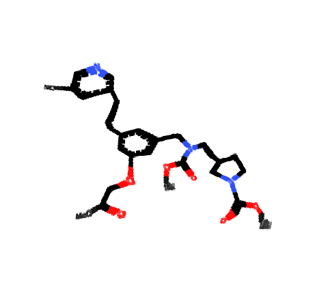 COC(=O)COc1cc(C=Cc2cncc(C#N)c2)cc(CN(CC2CCN(C(=O)OC(C)(C)C)C2)C(=O)OC(C)(C)C)c1